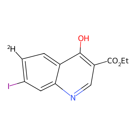 [2H]c1cc2c(O)c(C(=O)OCC)cnc2cc1I